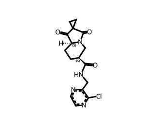 O=C(NCc1nccnc1Cl)[C@H]1CC[C@H]2C(=O)C3(CC3)C(=O)N2C1